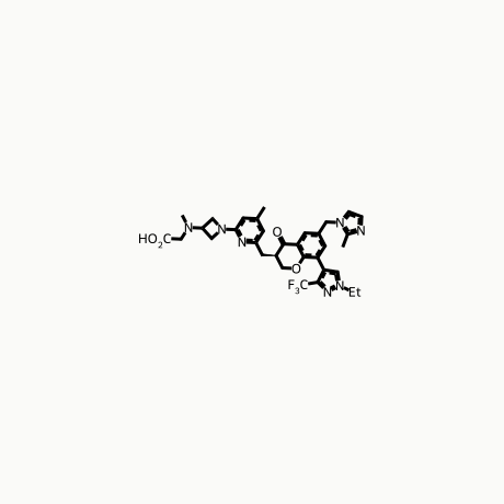 CCn1cc(-c2cc(Cn3ccnc3C)cc3c2OC[C@@H](Cc2cc(C)cc(N4CC(N(C)CC(=O)O)C4)n2)C3=O)c(C(F)(F)F)n1